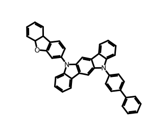 C1=CC2Oc3cc(-n4c5ccccc5c5cc6c(cc54)c4ccccc4n6-c4ccc(-c5ccccc5)cc4)ccc3C2C=C1